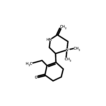 C=C1C[N+](C)(C)C(C2=C(CC)C(=O)CCC2)CN1